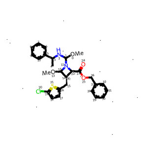 COC(NC(C)c1ccccc1)N1C(OC)[C@H](Cc2ccc(Cl)s2)C1C(=O)OCc1ccccc1